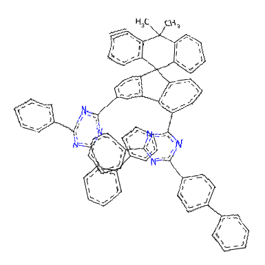 CC1(C)c2c#cccc2C2(c3ccc(-c4nc(-c5ccccc5)nc(-c5ccccc5-c5ccccc5)n4)cc3-c3c(-c4nc(-c5ccccc5)nc(-c5ccc(-c6ccccc6)cc5)n4)cccc32)c2ccccc21